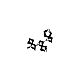 CN1C[C@H](N2C[C@H](N3CCC34CCOC4)C23COC3)C12CCC2